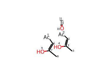 CC(=O)C=C(C)O.CC(=O)C=C(C)O.[O]=[Ti]